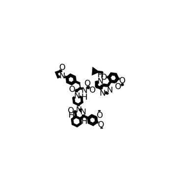 COc1ccc(C2=NN(C3CCN(C(=O)[C@@H](Cc4ccc(N5CCC5=O)cc4)NC(=O)Oc4c[nH]c5c(-c6c(OCC7CC7)ccc7c6OCO7)ncnc45)CC3)C(=O)[C@@H]3CCCC[C@H]23)cc1OC